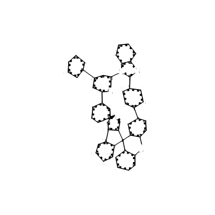 c1ccc(-c2cc(-c3ccccc3)nc(-n3c(-c4ccc(-c5ccc6c(c5)C5(c7ccccc7O6)c6ccccc6-c6ccccc65)cc4)nc4ccccc43)c2)cc1